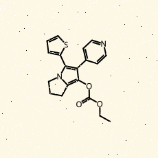 CCOC(=O)Oc1c(-c2ccncc2)c(-c2cccs2)n2c1CCC2